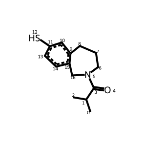 CC(C)C(=O)N1CCCc2cc(S)ccc2C1